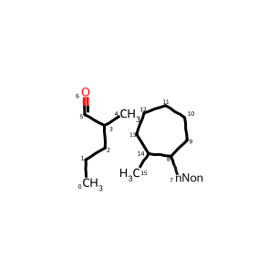 CCCC(C)C=O.CCCCCCCCCC1CCCCCC1C